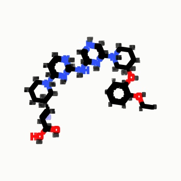 CCOc1ccccc1O[C@@H]1CCCN(c2cncc(Nc3nccc(N4CCC[C@@H](/C=C/C(=O)O)C4)n3)n2)C1